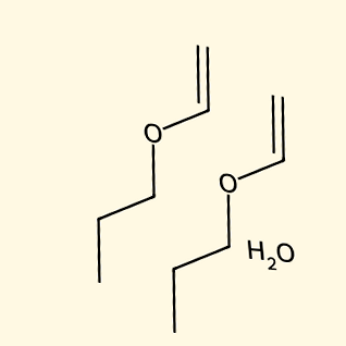 C=COCCC.C=COCCC.O